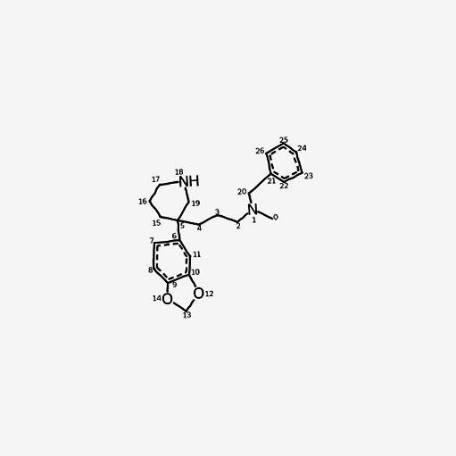 CN(CCCC1(c2ccc3c(c2)OCO3)CCCNC1)Cc1ccccc1